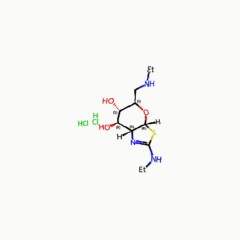 CCNC[C@H]1O[C@@H]2SC(NCC)=N[C@@H]2[C@@H](O)[C@@H]1O.Cl.Cl